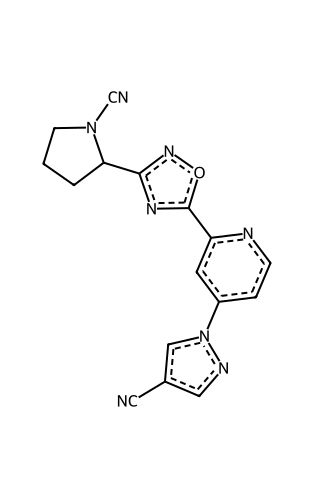 N#Cc1cnn(-c2ccnc(-c3nc(C4CCCN4C#N)no3)c2)c1